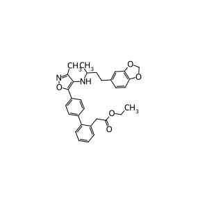 CCOC(=O)Cc1ccccc1-c1ccc(-c2onc(C)c2NC(C)CCc2ccc3c(c2)OCO3)cc1